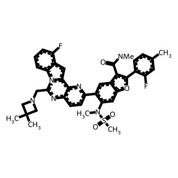 CNC(=O)c1c(-c2ccc(C)cc2F)oc2cc(N(C)S(C)(=O)=O)c(-c3ccc4nc(CN5CC(C)(C)C5)n5c6cccc(F)c6cc5c4n3)cc12